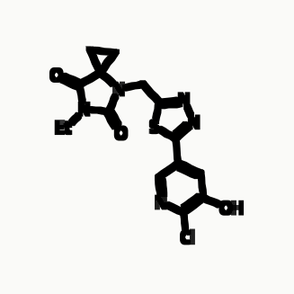 CCN1C(=O)N(Cc2nnc(-c3cnc(Cl)c(O)c3)s2)C2(CC2)C1=O